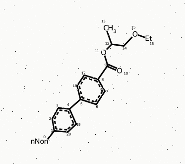 CCCCCCCCCc1ccc(-c2ccc(C(=O)OC(C)COCC)cc2)cc1